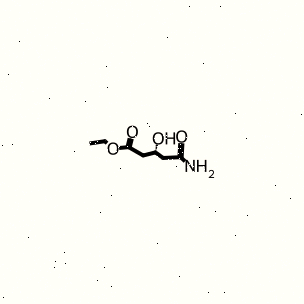 CCOC(=O)C[C@H](O)CC(N)=O